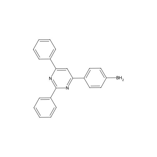 Bc1ccc(-c2cc(-c3ccccc3)nc(-c3ccccc3)n2)cc1